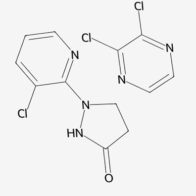 Clc1nccnc1Cl.O=C1CCN(c2ncccc2Cl)N1